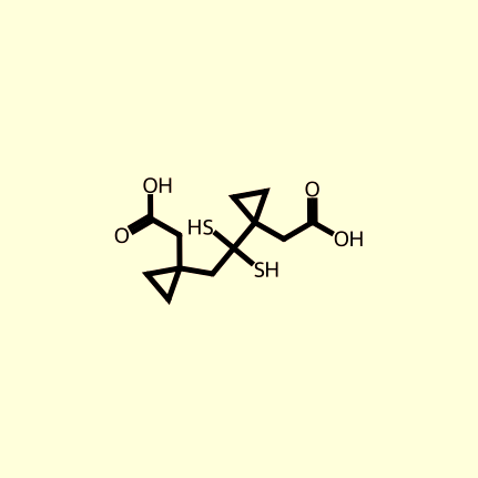 O=C(O)CC1(CC(S)(S)C2(CC(=O)O)CC2)CC1